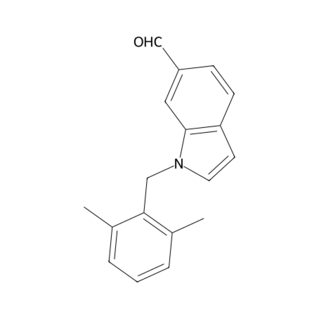 Cc1cccc(C)c1Cn1ccc2ccc(C=O)cc21